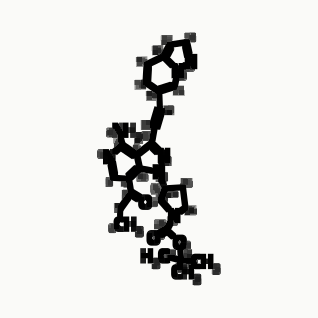 CCC(=O)c1cnc(N)c2c(C#Cc3ccc4ccnn4c3)nn([C@H]3CCN(C(=O)OC(C)(C)C)C3)c12